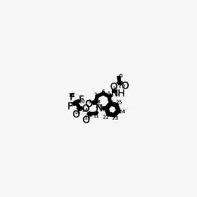 CC(=O)ONC1CCC(=O)N(CC(=O)OC(=O)C(F)(F)F)c2ccccc21